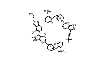 CC(C)(C)C#Cc1n[nH]c2nc(N3CC[C@@H]4[C@H](C3)[C@@]4(CN)c3ccccc3F)cnc12.NC[C@]1(c2ccccc2F)[C@@H]2CCN(C3=CNC4=C(c5ccc6nn(CCO)cc6c5Cl)NNC4=N3)C[C@@H]21